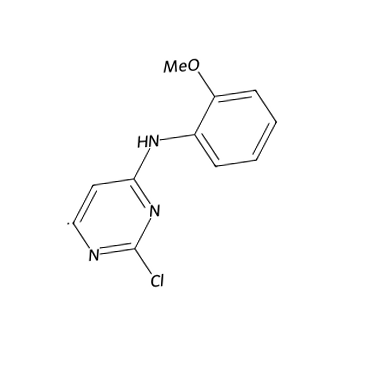 COc1ccccc1Nc1c[c]nc(Cl)n1